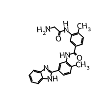 Cc1ccc(C(=O)Nc2cc(-c3nc4ccccc4[nH]3)ccc2C)cc1NC(=O)CN